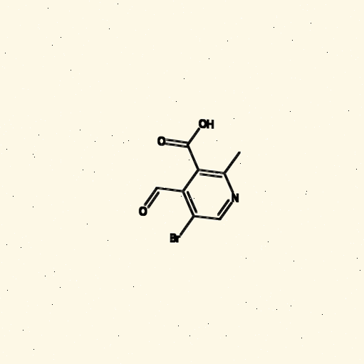 Cc1ncc(Br)c(C=O)c1C(=O)O